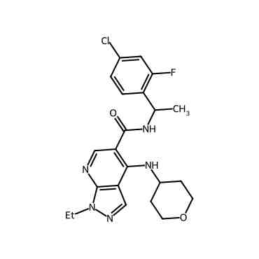 CCn1ncc2c(NC3CCOCC3)c(C(=O)NC(C)c3ccc(Cl)cc3F)cnc21